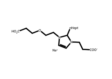 CCCCCCCC1N(CCOCCC(=O)O)C=CN1CCC(=O)[O-].[Na+]